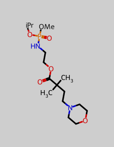 COP(=O)(NCCOC(=O)C(C)(C)CCN1CCOCC1)OC(C)C